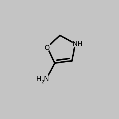 NC1=CNCO1